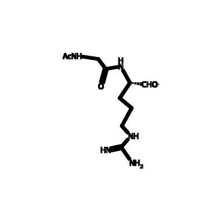 CC(=O)NCC(=O)N[C@H]([C]=O)CCCNC(=N)N